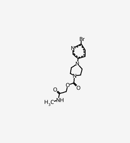 CNC(=O)COC(=O)N1CCN(c2ccc(Br)nc2)CC1